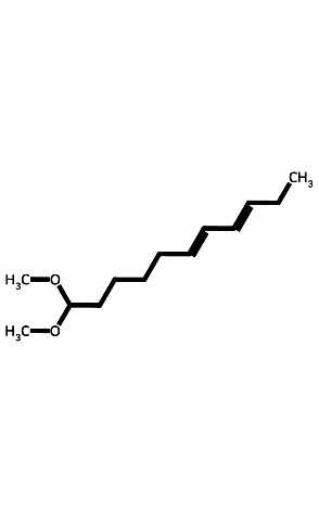 CCC=CC=CCCCCC(OC)OC